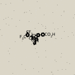 C[C@H]1[C@@H](c2cc(C(F)(F)F)cc(C(F)(F)F)c2)OC(=O)N1Cc1nc(N2CCC2)ncc1-c1cc([C@H]2CC[C@H](C(=O)O)CC2)ccc1Cl